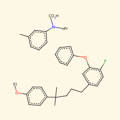 CCCN(C(=O)O)c1cccc(C)c1.CCOc1ccc(C(C)(C)CCCc2ccc(F)c(Oc3ccccc3)c2)cc1